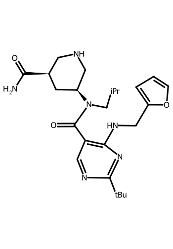 CC(C)CN(C(=O)c1cnc(C(C)(C)C)nc1NCc1ccco1)[C@@H]1CNC[C@H](C(N)=O)C1